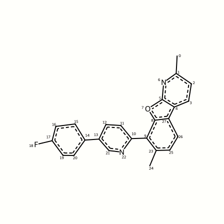 Cc1ccc2c(n1)oc1c(-c3ccc(-c4ccc(F)cc4)cn3)c(C)ccc12